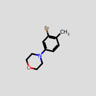 Cc1ccc(N2CCOCC2)cc1Br